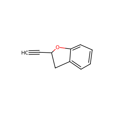 C#CC1Cc2ccccc2O1